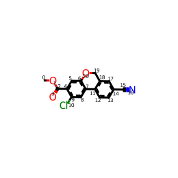 COC(=O)c1cc2c(cc1Cl)-c1ccc(C#N)cc1CO2